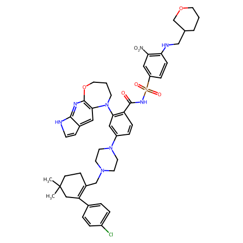 CC1(C)CCC(CN2CCN(c3ccc(C(=O)NS(=O)(=O)c4ccc(NCC5CCCOC5)c([N+](=O)[O-])c4)c(N4CCCOc5nc6[nH]ccc6cc54)c3)CC2)=C(c2ccc(Cl)cc2)C1